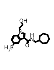 Bc1ccc2c(c1)c(C(=O)NCC1CCCCCC1)cn2CCO